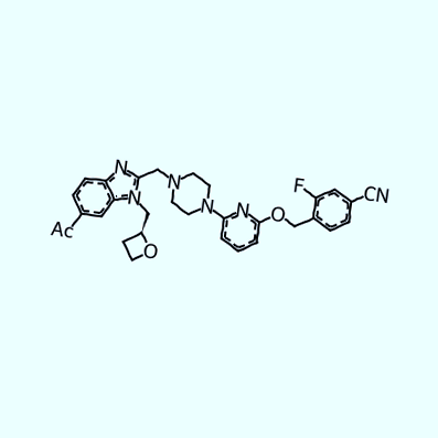 CC(=O)c1ccc2nc(CN3CCN(c4cccc(OCc5ccc(C#N)cc5F)n4)CC3)n(C[C@@H]3CCO3)c2c1